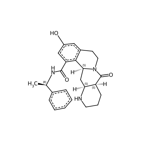 C[C@@H](NC(=O)c1cc(O)cc2c1[C@@H]1C[C@@H]3NCCC[C@@H]3C(=O)N1CC2)c1ccccc1